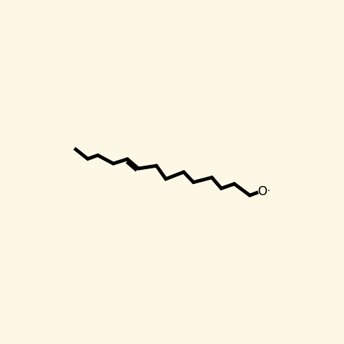 CCCC/C=C/CCCCCCCC[O]